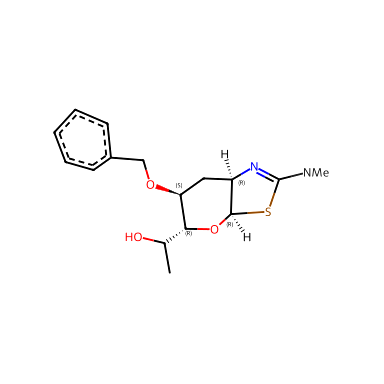 CNC1=N[C@@H]2C[C@H](OCc3ccccc3)[C@@H](C(C)O)O[C@@H]2S1